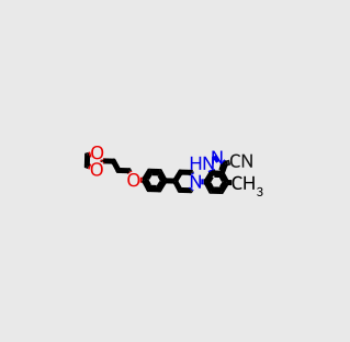 Cc1ccc(N2CCC(c3ccc(OCCCC4OCCO4)cc3)CC2)c2[nH]nc(C#N)c12